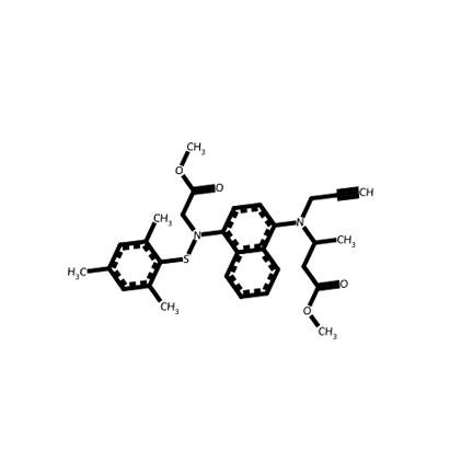 C#CCN(c1ccc(N(CC(=O)OC)Sc2c(C)cc(C)cc2C)c2ccccc12)C(C)CC(=O)OC